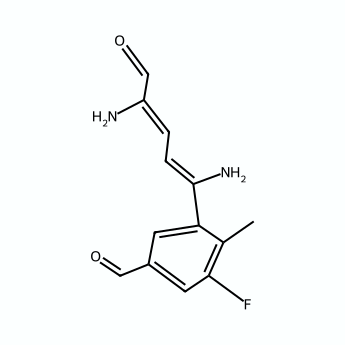 Cc1c(F)cc(C=O)cc1/C(N)=C/C=C(\N)C=O